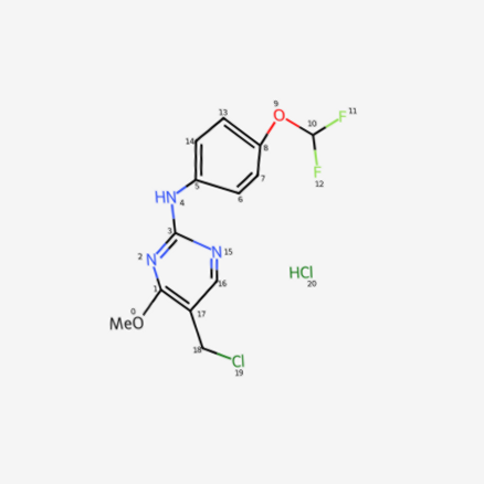 COc1nc(Nc2ccc(OC(F)F)cc2)ncc1CCl.Cl